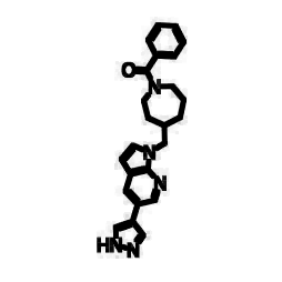 O=C(c1ccccc1)N1CCCC(Cn2ccc3cc(-c4cn[nH]c4)cnc32)CC1